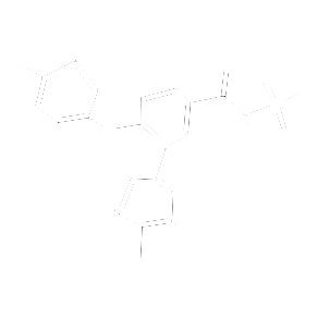 Cc1ncc(-c2cc(C(=O)NS(C)(=O)=O)ccc2Oc2ccc(Cl)cc2)cn1